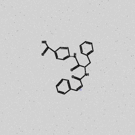 O=C(/C=C\c1ccccc1)NC(Cc1ccccc1)C(=O)Nc1ccc(C(=O)O)cc1